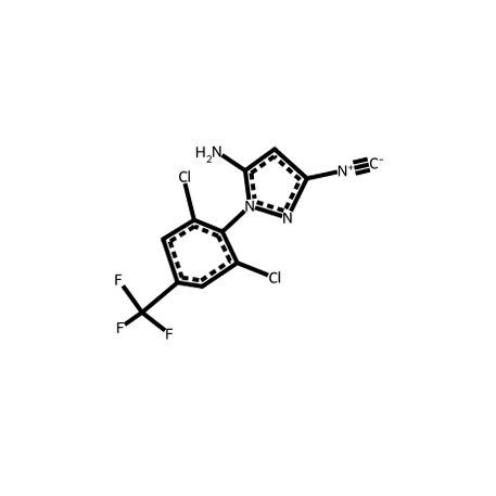 [C-]#[N+]c1cc(N)n(-c2c(Cl)cc(C(F)(F)F)cc2Cl)n1